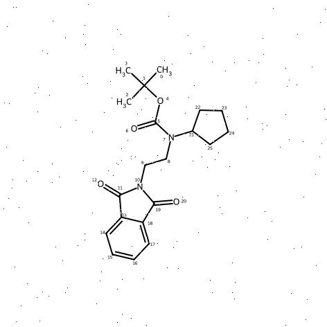 CC(C)(C)OC(=O)N(CCN1C(=O)c2ccccc2C1=O)C1CCCC1